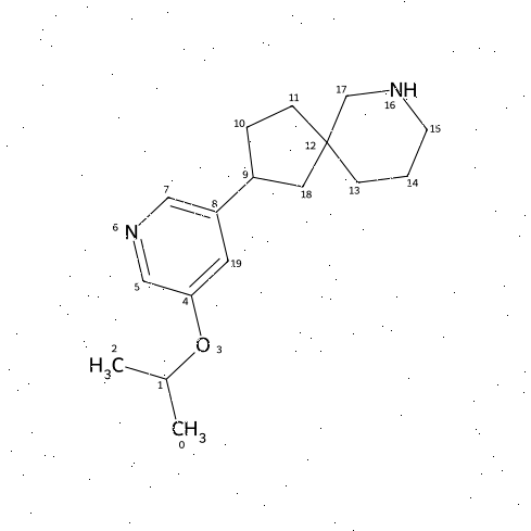 CC(C)Oc1cncc(C2CCC3(CCCNC3)C2)c1